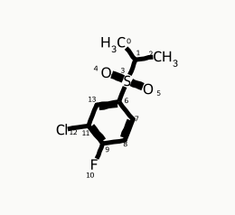 CC(C)S(=O)(=O)c1ccc(F)c(Cl)c1